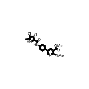 CNc1ncc(-c2ccc(NC(=O)c3[nH]c(C)c(Cl)c3Cl)cc2)cc1C(=O)OC